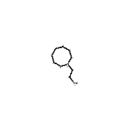 NCCN1CCCCCCC1